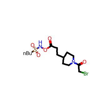 CCCCS(=O)(=O)NOC(=O)CCC1CCN(C(=O)CBr)CC1